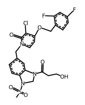 CS(=O)(=O)N1CN(C(=O)CCO)c2cc(Cn3ccc(OCc4ccc(F)cc4F)c(Cl)c3=O)ccc21